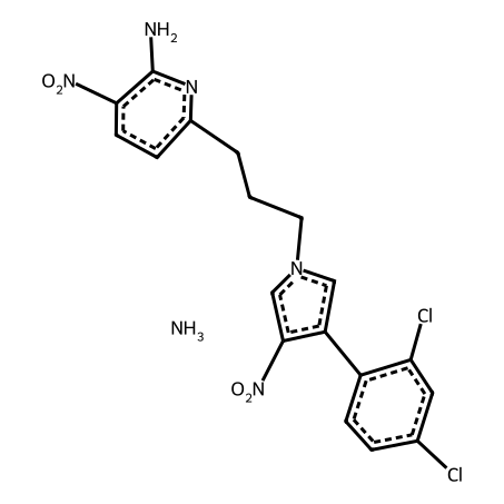 N.Nc1nc(CCCn2cc(-c3ccc(Cl)cc3Cl)c([N+](=O)[O-])c2)ccc1[N+](=O)[O-]